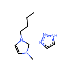 CCCCN1C=CN(C)C1.c1c[nH]nn1